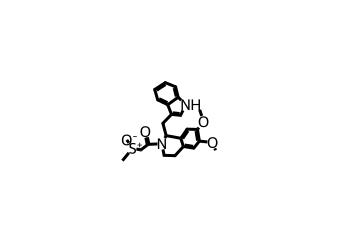 COc1cc2c(cc1OC)C(Cc1c[nH]c3ccccc13)N(C(=O)C[S+](C)[O-])CC2